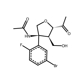 CC(=O)N[C@@]1(c2cc(Br)ccc2F)CO[C@H](C(C)=O)[C@H]1CO